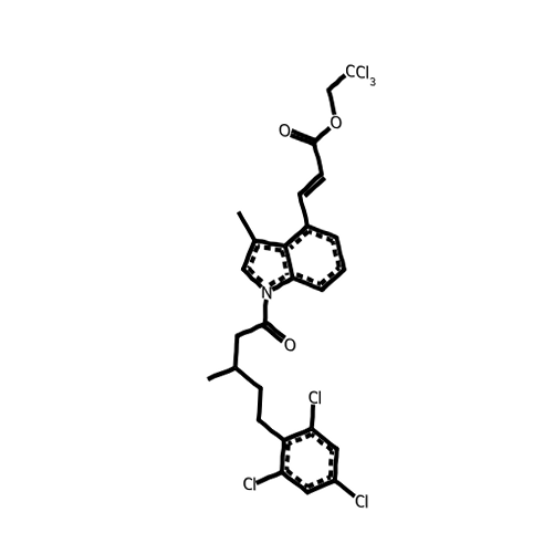 Cc1cn(C(=O)CC(C)CCc2c(Cl)cc(Cl)cc2Cl)c2cccc(/C=C/C(=O)OCC(Cl)(Cl)Cl)c12